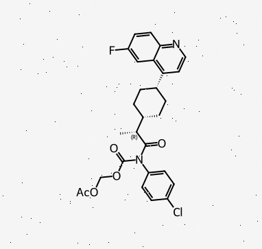 CC(=O)OCOC(=O)N(C(=O)[C@H](C)[C@H]1CC[C@@H](c2ccnc3ccc(F)cc32)CC1)c1ccc(Cl)cc1